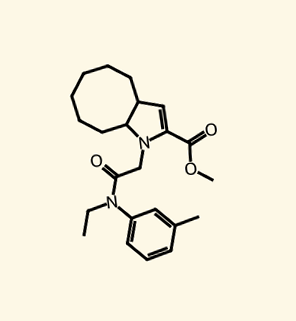 CCN(C(=O)CN1C(C(=O)OC)=CC2CCCCCCC21)c1cccc(C)c1